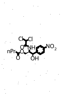 CCCC(=O)OC[C@@H](NC(=O)C(Cl)Cl)[C@H](O)c1ccc([N+](=O)[O-])cc1